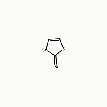 [Se]=c1scc[se]1